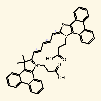 CC1(C)C(/C=C/C=C/C=C2/Sc3c(c4ccccc4c4ccccc34)N2CCC(=O)O)=[N+](CCC(=O)O)c2c1c1ccccc1c1ccccc21